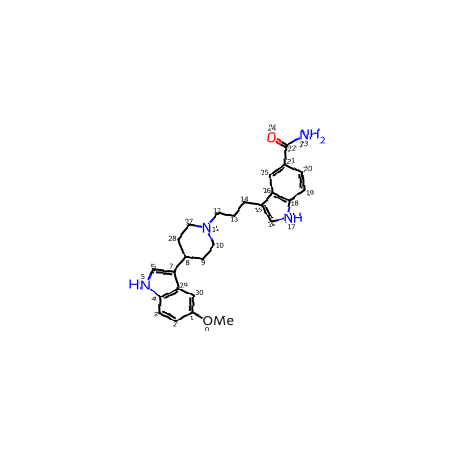 COc1ccc2[nH]cc(C3CCN(CCCc4c[nH]c5ccc(C(N)=O)cc45)CC3)c2c1